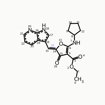 CCOC(=O)C1=C(NC2CCCC2)O/C(=C\c2c[nH]c3ncccc23)C1=O